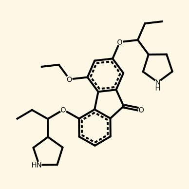 CCOc1cc(OC(CC)C2CCNC2)cc2c1-c1c(OC(CC)C3CCNC3)cccc1C2=O